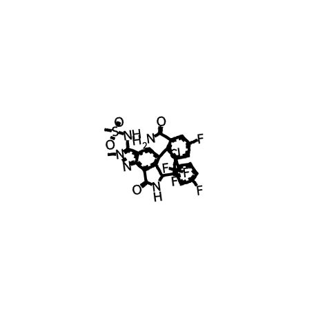 Cn1nc2c3c(c(-c4c(C(N)=O)cc(F)cc4C(F)(F)F)cc2c1NS(C)(=O)=O)C(c1cc(F)ccc1Cl)NC3=O